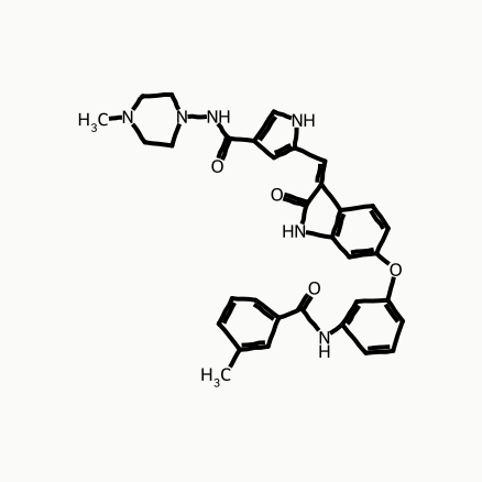 Cc1cccc(C(=O)Nc2cccc(Oc3ccc4c(c3)NC(=O)C4=Cc3cc(C(=O)NN4CCN(C)CC4)c[nH]3)c2)c1